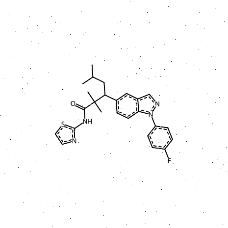 CC(C)CC(c1ccc2c(cnn2-c2ccc(F)cc2)c1)C(C)(C)C(=O)Nc1nccs1